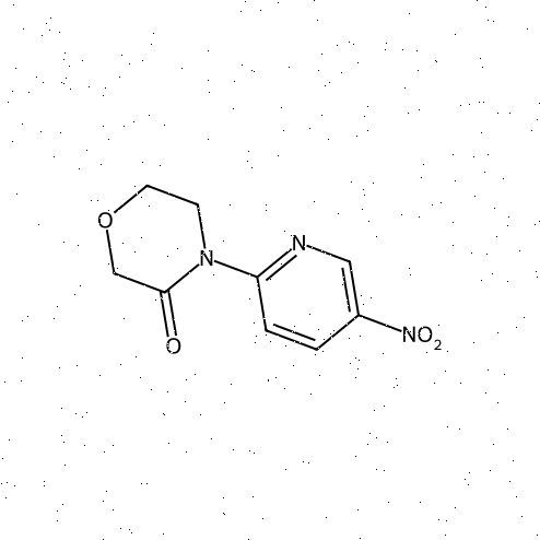 O=C1COCCN1c1ccc([N+](=O)[O-])cn1